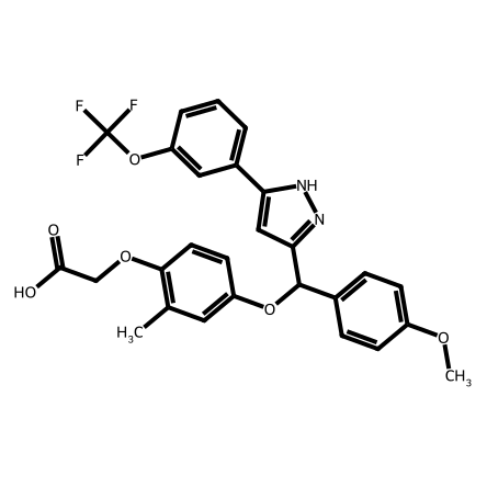 COc1ccc(C(Oc2ccc(OCC(=O)O)c(C)c2)c2cc(-c3cccc(OC(F)(F)F)c3)[nH]n2)cc1